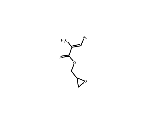 CC(=[CH][Au])C(=O)OCC1CO1